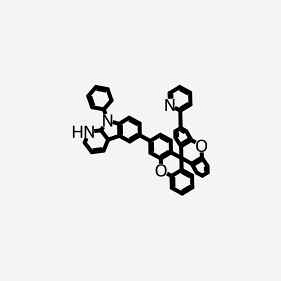 C1=CCC(N2c3ccc(-c4ccc5c(c4)Oc4ccccc4C54C5=C(C=CCC5)Oc5cc(-c6ccccn6)ccc54)cc3C3C=CCNC32)C=C1